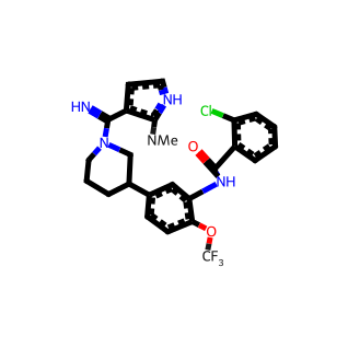 CNc1[nH]ccc1C(=N)N1CCCC(c2ccc(OC(F)(F)F)c(NC(=O)c3ccccc3Cl)c2)C1